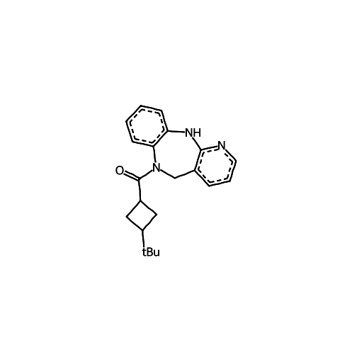 CC(C)(C)C1CC(C(=O)N2Cc3cccnc3Nc3ccccc32)C1